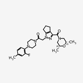 Cc1ccc(N2CCN(C(=O)Cn3nc(C(=O)N4C[C@@H](C)O[C@@H](C)C4)c4c3CCC4)CC2)c(F)c1